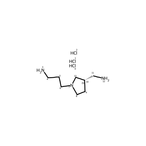 Cl.Cl.Cl.NCCCN1CC[C@@H](CN)C1